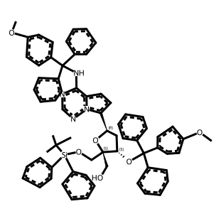 COc1ccc(C(Nc2ncnn3c([C@H]4C[C@H](OC(c5ccccc5)(c5ccccc5)c5ccc(OC)cc5)[C@](CO)(CO[Si](c5ccccc5)(c5ccccc5)C(C)(C)C)O4)ccc23)(c2ccccc2)c2ccccc2)cc1